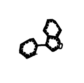 [c]1ccccc1-c1coc2ccccc12